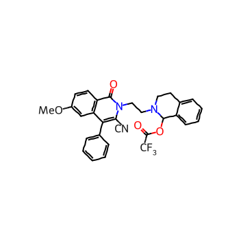 COc1ccc2c(=O)n(CCN3CCc4ccccc4C3OC(=O)C(F)(F)F)c(C#N)c(-c3ccccc3)c2c1